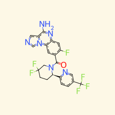 Nc1nc2cc(F)c(C(=O)N3CC(F)(F)CC[C@@H]3c3ccc(C(F)(F)F)cn3)cc2n2cncc12